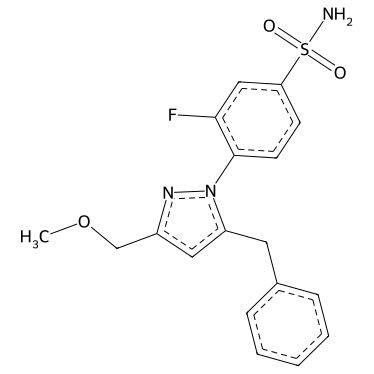 COCc1cc(Cc2ccccc2)n(-c2ccc(S(N)(=O)=O)cc2F)n1